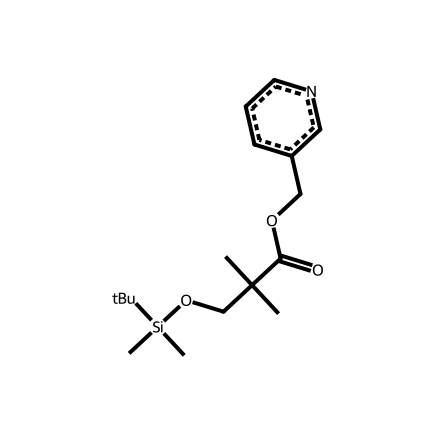 CC(C)(CO[Si](C)(C)C(C)(C)C)C(=O)OCc1cccnc1